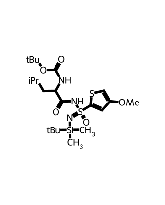 COc1csc(S(=O)(=N[Si](C)(C)C(C)(C)C)NC(=O)C(CC(C)C)NC(=O)OC(C)(C)C)c1